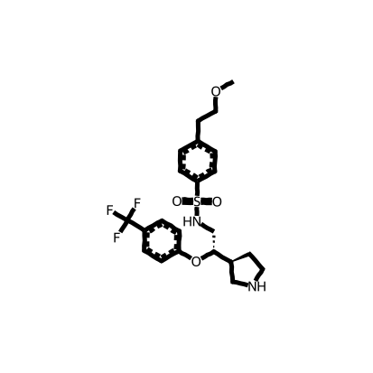 COCCc1ccc(S(=O)(=O)NC[C@@H](Oc2ccc(C(F)(F)F)cc2)[C@H]2CCNC2)cc1